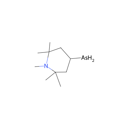 CN1C(C)(C)CC([AsH2])CC1(C)C